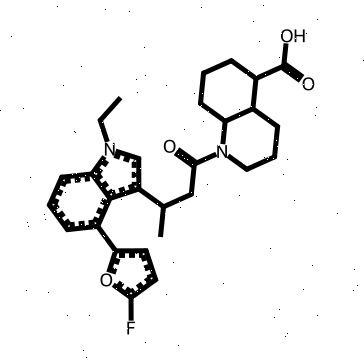 CCn1cc(C(C)CC(=O)N2CCCC3C(C(=O)O)CCCC32)c2c(-c3ccc(F)o3)cccc21